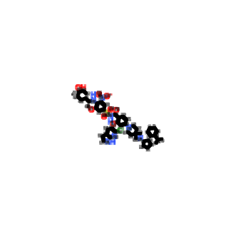 CC(C)c1ccccc1[C@@H]1CCC[C@@H]1N1CC2(CCN(c3ccc(C(=O)NS(=O)(=O)c4cc5c(c([N+](=O)[O-])c4)N[C@@H]([C@H]4CC[C@](C)(O)CC4)CO5)c(Oc4cc5cc[nH]c5nc4Cl)c3)CC2)C1